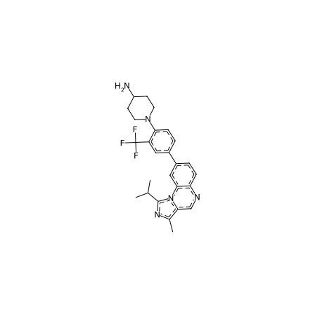 Cc1nc(C(C)C)n2c1cnc1ccc(-c3ccc(N4CCC(N)CC4)c(C(F)(F)F)c3)cc12